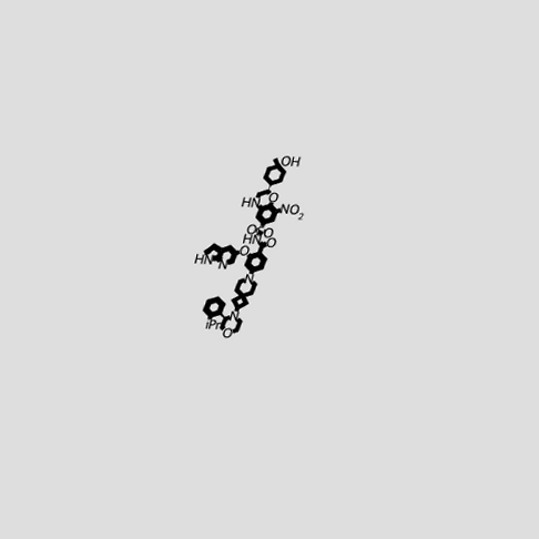 CC(C)c1ccccc1[C@@H]1COCCN1C1CC2(CCN(c3ccc(C(=O)NS(=O)(=O)c4cc5c(c([N+](=O)[O-])c4)O[C@@H](C4CCC(C)(O)CC4)CN5)c(Oc4cnc5[nH]ccc5c4)c3)CC2)C1